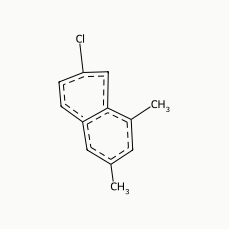 Cc1cc(C)c2cc(Cl)ccc2c1